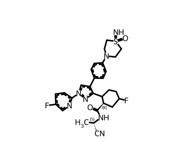 C[C@@H](C#N)NC(=O)[C@@H]1CC(F)CCC1c1nn(-c2ccc(F)cn2)cc1-c1ccc(N2CCS(=N)(=O)CC2)cc1